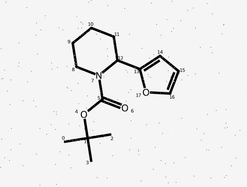 CC(C)(C)OC(=O)N1CCCCC1c1ccco1